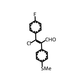 CSc1ccc(/C(C=O)=C(\Cl)c2ccc(F)cc2)cc1